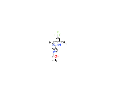 CC[C@H](O)Cn1ccc2c(Nc3c(C)cc(C(F)(F)F)cc3C)nccc21